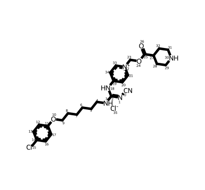 N#CN=C(NCCCCCCOc1ccc(Cl)cc1)Nc1cc[n+](COC(=O)C2CCNCC2)cc1.[Cl-]